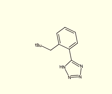 CC(C)(C)Cc1ccccc1-c1nnn[nH]1